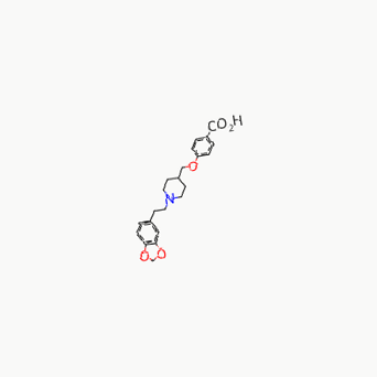 O=C(O)c1ccc(OCC2CCN(CCc3ccc4c(c3)OCO4)CC2)cc1